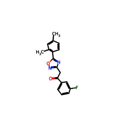 Cc1ccc(-c2nc(CC(=O)c3cccc(F)c3)no2)c(C)c1